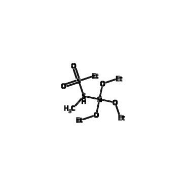 CCO[Si](OCC)(OCC)[SH](C)S(=O)(=O)CC